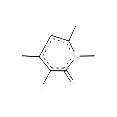 Cc1cc(C)n(C)c(=O)c1O